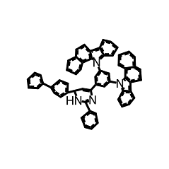 C1=C(c2cc(-n3c4ccccc4c4ccc5ccccc5c43)cc(-n3c4ccccc4c4ccc5ccccc5c43)c2)N=C(c2ccccc2)NC1c1ccc(-c2ccccc2)cc1